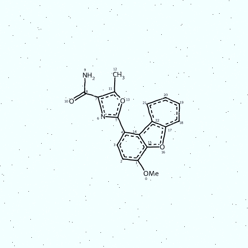 COc1ccc(-c2nc(C(N)=O)c(C)o2)c2c1oc1ccccc12